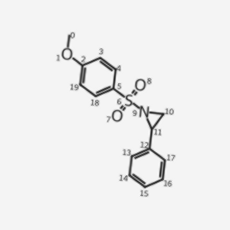 COc1ccc(S(=O)(=O)N2CC2c2ccccc2)cc1